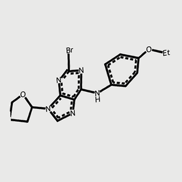 CCOc1ccc(Nc2nc(Br)nc3c2ncn3C2CCCO2)cc1